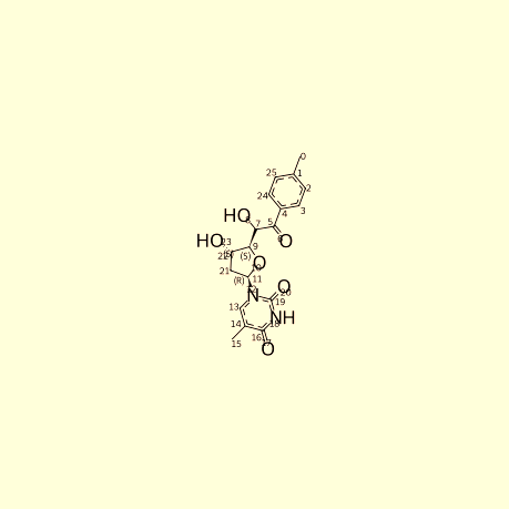 Cc1ccc(C(=O)C(O)[C@H]2O[C@@H](n3cc(C)c(=O)[nH]c3=O)C[C@@H]2O)cc1